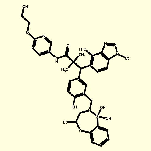 CCC1CN(Cc2cc(C(c3ccc4c(nnn4CC)c3C)C(C)(C)C(=O)Nc3cnc(OCCO)nc3)ccc2C)S(O)(O)c2ccccc2O1